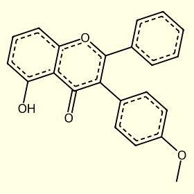 COc1ccc(-c2c(-c3ccccc3)oc3cccc(O)c3c2=O)cc1